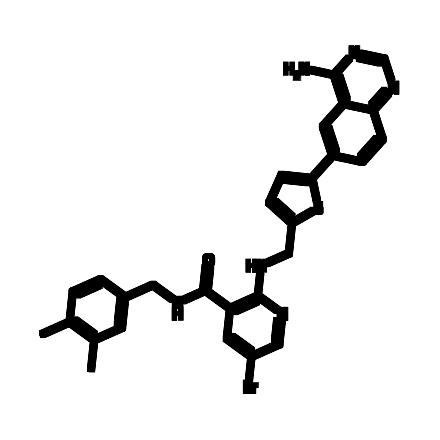 Cc1ccc(CNC(=O)c2cc(Br)cnc2NCc2ccc(-c3ccc4ncnc(N)c4c3)s2)cc1C